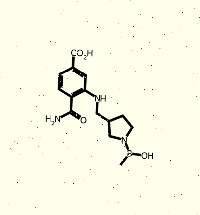 CB(O)N1CCC(CNc2cc(C(=O)O)ccc2C(N)=O)C1